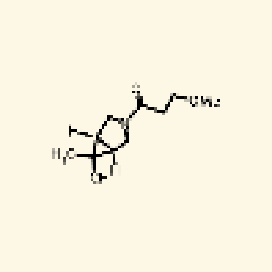 COCCC(=O)N1C[C@@H]2[C@H](C1)C2(C)C